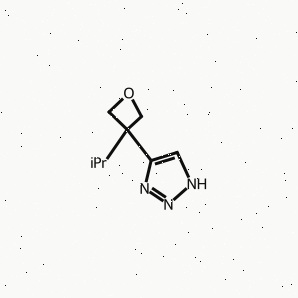 CC(C)C1(c2c[nH]nn2)COC1